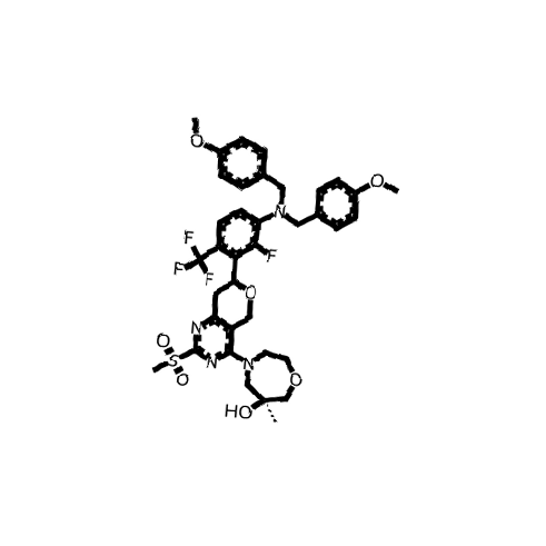 COc1ccc(CN(Cc2ccc(OC)cc2)c2ccc(C(F)(F)F)c(C3Cc4nc(S(C)(=O)=O)nc(N5CCOC[C@@](C)(O)C5)c4CO3)c2F)cc1